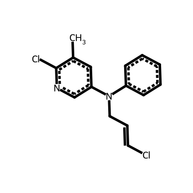 Cc1cc(N(CC=CCl)c2ccccc2)cnc1Cl